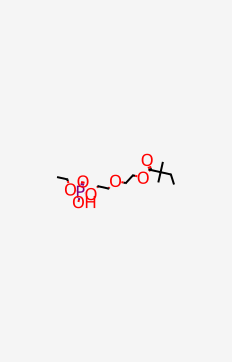 CCOP(=O)(O)OCCOCCOC(=O)C(C)(C)CC